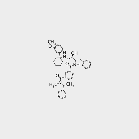 COc1cccc(C2(NC[C@@H](O)[C@H](Cc3ccccc3)NC(=O)c3cccc(C(=O)N(C)[C@H](C)c4ccccc4)c3)CCCCC2)c1